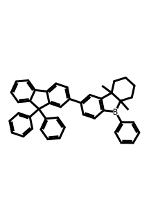 CC12CCCCC1(C)c1cc(-c3ccc4c(c3)C(c3ccccc3)(c3ccccc3)c3ccccc3-4)ccc1B2c1ccccc1